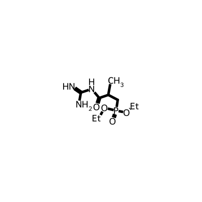 CCOP(=O)(CC(C)C(=O)NC(=N)N)OCC